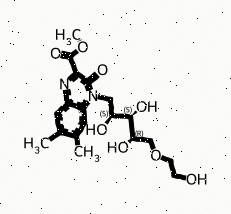 COC(=O)c1nc2cc(C)c(C)cc2n(C[C@H](O)[C@H](O)[C@H](O)COCCO)c1=O